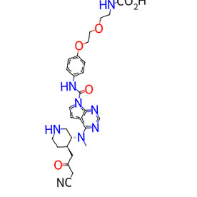 CN(c1ncnc2c1ccn2C(=O)Nc1ccc(OCCOCCNC(=O)O)cc1)[C@H]1CNCC[C@@H]1CC(=O)CC#N